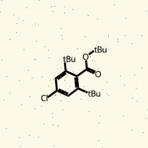 CC(C)(C)OC(=O)c1c(C(C)(C)C)cc(Cl)cc1C(C)(C)C